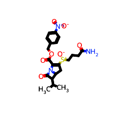 CC(C)C1C(=O)N2C(C(=O)OCc3ccc([N+](=O)[O-])cc3)=C([S+]([O-])CCCC(N)=O)CC12